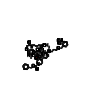 COCCCN1C(=O)COc2ccc(COC3(O[Si](C(C)C)(C(C)C)C(C)C)CN(C(=O)OCc4ccccc4)CCC3c3ccc(OCCCOCc4ccccc4OC)cc3)cc21